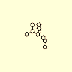 c1ccc(-c2ccc3ccc(-c4ccc(-c5nc(-c6ccccc6)nc(-c6ccccc6)n5)c5c4oc4cc6ccccc6cc45)cc3c2)cc1